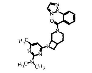 Cc1cc(N2CC3CCN(C(=O)c4ccccc4-n4nccn4)CC32)nc(N(C)C)n1